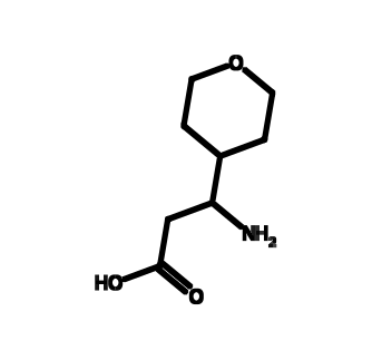 NC(CC(=O)O)C1CCOCC1